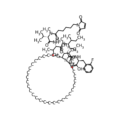 CC[C@H](C)[C@@H]([C@@H](CC(=O)N1[C@H]2CC2CCCCCCCCCCCCCCCCCCCCCCCCCCCC[C@H]1[C@H](OC)[C@@H](C)C(=O)N[C@@H](Cc1ccccc1F)C(=O)O)OC)N(C)C(=O)[C@@H](NC(=O)[C@H](C(C)C)N(C)C(=O)CCCCCN1C(=O)C=CC1=O)C(C)C